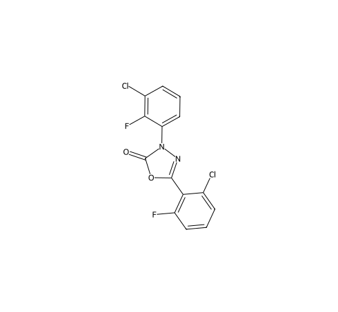 O=c1oc(-c2c(F)cccc2Cl)nn1-c1cccc(Cl)c1F